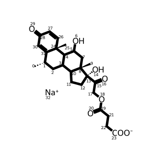 C[C@H]1CC2C(C(O)C[C@@]3(C)C2CC[C@]3(O)C(=O)COC(=O)CCC(=O)[O-])[C@@]2(C)C=CC(=O)C=C12.[Na+]